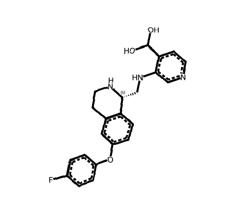 OC(O)c1ccncc1NC[C@H]1NCCc2cc(Oc3ccc(F)cc3)ccc21